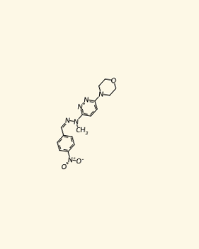 CN(/N=C\c1ccc([N+](=O)[O-])cc1)c1ccc(N2CCOCC2)nn1